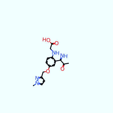 CC(=O)C(=N)c1cc(OCc2ccn(C)n2)ccc1NCC(=O)O